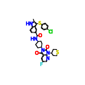 Cc1[nH]c2ccc(C(=O)NC3CCC(n4c(=O)c5cc(F)cnc5n(C5CCSCC5)c4=O)CC3)cc2c1Sc1ccc(Cl)cc1